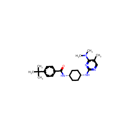 Cc1cnc(N[C@H]2CC[C@@H](NC(=O)c3ccc(C(C)(C)C)cc3)CC2)nc1N(C)C